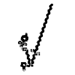 CCCCCCCCCCCCCCCCCCCCCC(=O)NCCCC[N+](C)(CCCCCCO)CN1CCCC1=O.Cc1ccc(S(=O)(=O)[O-])cc1